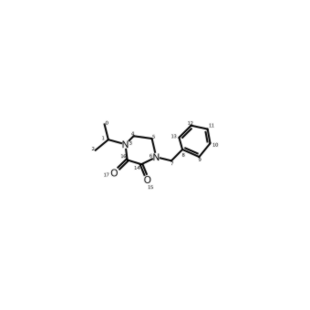 CC(C)N1CCN(Cc2ccccc2)C(=O)C1=O